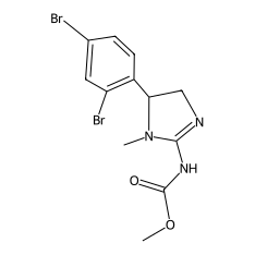 COC(=O)NC1=NCC(c2ccc(Br)cc2Br)N1C